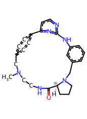 CN1CCNC(=O)[C@@H]2CCCN2Cc2cccc(c2)Nc2nccc(n2)-c2ccc(cc2)C1